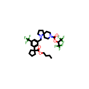 CCCCOC(=O)C1(c2cc(CN3CCCC34CCN(C(=O)OC(C(F)(F)F)C(F)(F)F)CC4)cc(C(F)(F)F)c2)CCCC1